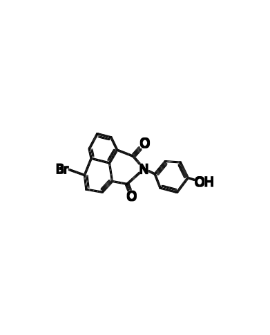 O=C1c2cccc3c(Br)ccc(c23)C(=O)N1c1ccc(O)cc1